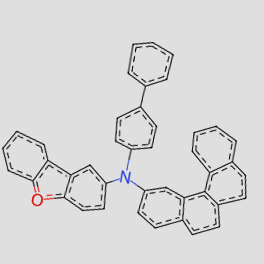 c1ccc(-c2ccc(N(c3ccc4oc5ccccc5c4c3)c3ccc4ccc5ccc6ccccc6c5c4c3)cc2)cc1